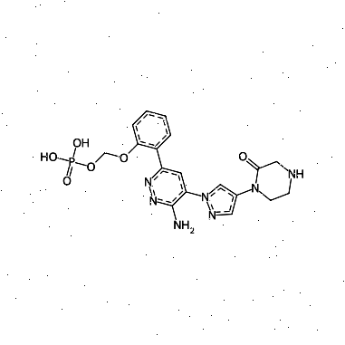 Nc1nnc(-c2ccccc2OCOP(=O)(O)O)cc1-n1cc(N2CCNCC2=O)cn1